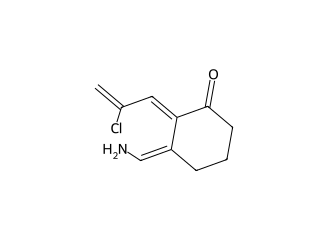 C=C(Cl)/C=C1/C(=O)CCC/C1=C/N